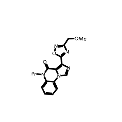 COCc1noc(-c2ncn3c2c(=O)n(C(C)C)c2ccccc23)n1